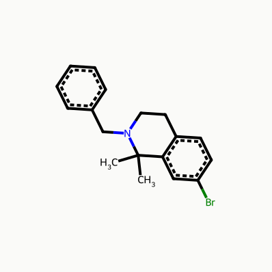 CC1(C)c2cc(Br)ccc2CCN1Cc1ccccc1